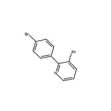 CC(C)c1cccnc1-c1ccc(Br)cc1